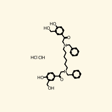 Cl.Cl.O=C(CN(CCCCCCN(CC(=O)c1ccc(O)c(CO)c1)Cc1ccccc1)Cc1ccccc1)c1ccc(O)c(CO)c1